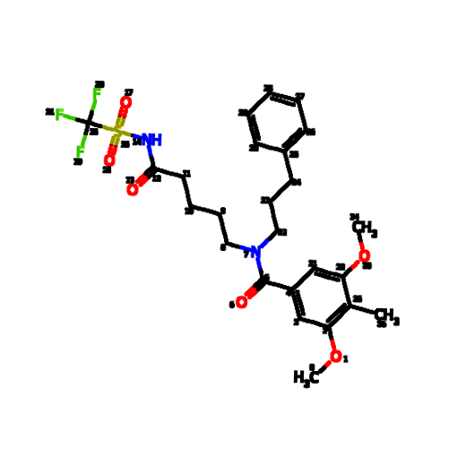 COc1cc(C(=O)N(CCCCC(=O)NS(=O)(=O)C(F)(F)F)CCCc2ccccc2)cc(OC)c1C